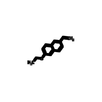 C=Cc1ccc2cc(OCC)ccc2c1